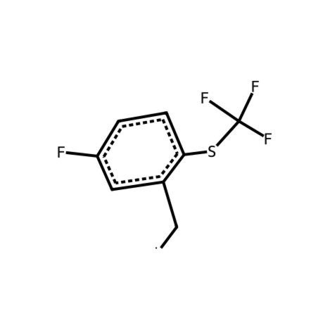 [CH2]Cc1cc(F)ccc1SC(F)(F)F